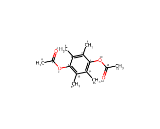 CC(=O)Oc1c(C)c(C)c(OC(C)=O)c(C)c1C